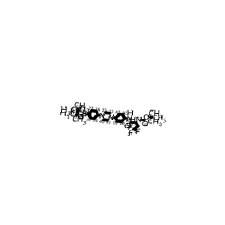 CC(C)(C)OC(=O)NC(CC(F)(F)F)C(=O)Nc1ccc(N2CCN(c3ccc(B4OC(C)(C)C(C)(C)O4)cc3)CC2)cc1